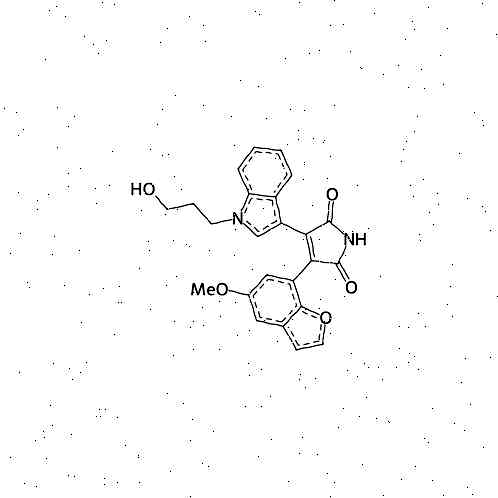 COc1cc(C2=C(c3cn(CCCO)c4ccccc34)C(=O)NC2=O)c2occc2c1